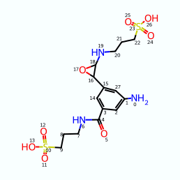 Nc1cc(C(=O)NCCCS(=O)(=O)O)cc(C2OC2NCCCS(=O)(=O)O)c1